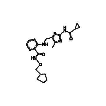 Cc1nc(NC(=O)C2CC2)sc1CNc1ccccc1C(=O)NOCC1CCCC1